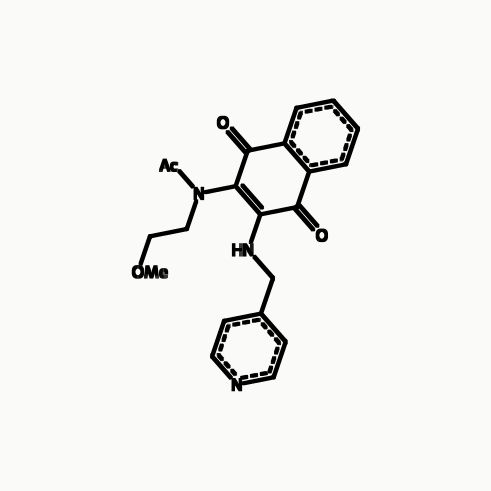 COCCN(C(C)=O)C1=C(NCc2ccncc2)C(=O)c2ccccc2C1=O